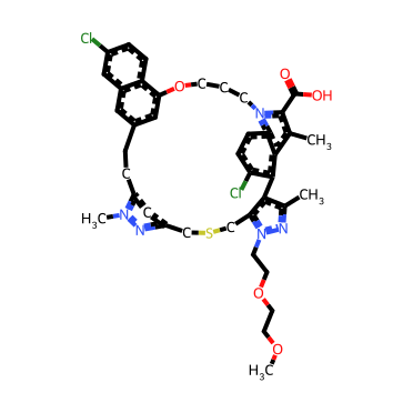 COCCOCCn1nc(C)c2c1CSCc1cc(n(C)n1)CCc1cc(c3ccc(Cl)cc3c1)OCCCn1c(C(=O)O)c(C)c3c-2c(Cl)ccc31